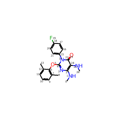 CNc1nc(Oc2c(C)cccc2C)n(-c2ccc(F)cc2)c(=O)c1NC